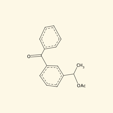 CC(=O)OC(C)c1cccc(C(=O)c2ccccc2)c1